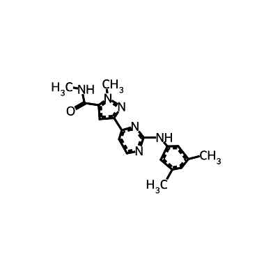 CNC(=O)c1cc(-c2ccnc(Nc3cc(C)cc(C)c3)n2)nn1C